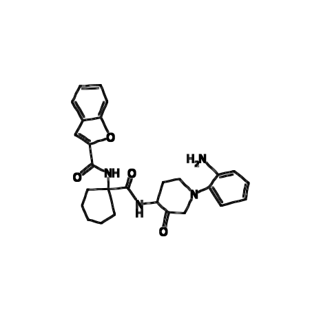 Nc1ccccc1N1CCC(NC(=O)C2(NC(=O)c3cc4ccccc4o3)CCCCC2)C(=O)C1